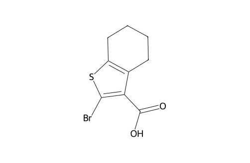 O=C(O)c1c(Br)sc2c1CCCC2